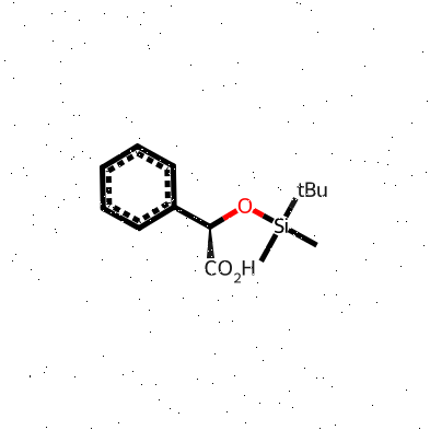 CC(C)(C)[Si](C)(C)O[C@@H](C(=O)O)c1ccccc1